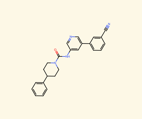 N#Cc1cccc(-c2cncc(NC(=O)N3CCC(c4ccccc4)CC3)c2)c1